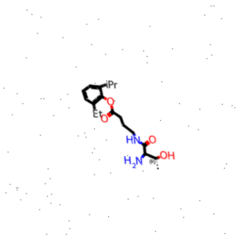 CCc1cccc(C(C)C)c1OC(=O)CCCNC(=O)C(N)[C@@H](C)O